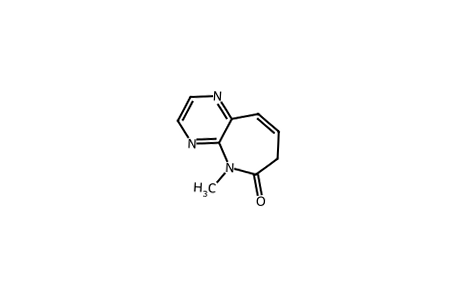 CN1C(=O)CC=Cc2nccnc21